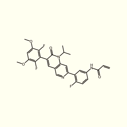 C=CC(=O)Nc1ccc(F)c(-c2cc3c(cn2)cc(-c2c(F)c(OC)cc(OC)c2F)c(=O)n3C(C)C)c1